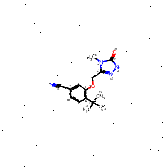 Cn1c(COc2cc(C#N)ccc2C(C)(C)C)n[nH]c1=O